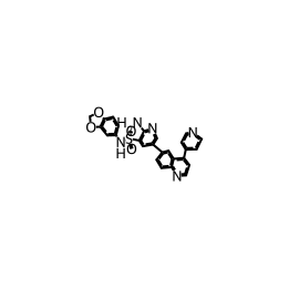 Nc1ncc(-c2ccc3nccc(-c4ccncc4)c3c2)cc1S(=O)(=O)Nc1ccc2c(c1)OCO2